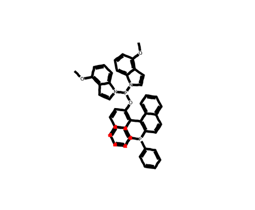 COc1cccc2c1ccn2P(Oc1ccc2ccccc2c1-c1c(P(c2ccccc2)c2ccccc2)ccc2ccccc12)n1ccc2c(OC)cccc21